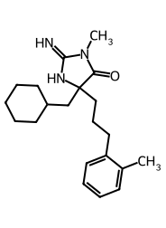 Cc1ccccc1CCCC1(CC2CCCCC2)NC(=N)N(C)C1=O